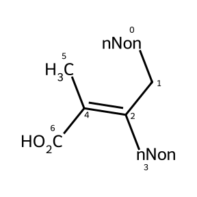 CCCCCCCCCCC(CCCCCCCCC)=C(C)C(=O)O